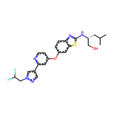 CC(C)C[C@H](CO)Nc1nc2ccc(Oc3ccnc(-c4cnn(CC(F)F)c4)c3)cc2s1